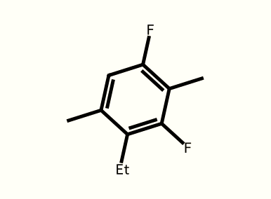 CCc1c(C)cc(F)c(C)c1F